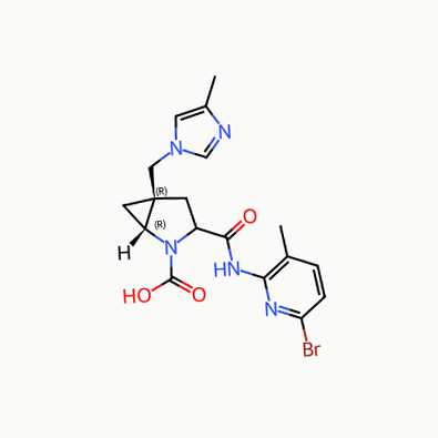 Cc1cn(C[C@@]23CC(C(=O)Nc4nc(Br)ccc4C)N(C(=O)O)[C@@H]2C3)cn1